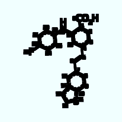 O=C(O)c1ccc(/C=C/c2ccc3sccc3c2)cc1Nc1ccc(F)cc1